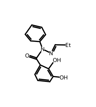 CCC=NN(C(=O)c1cccc(O)c1O)c1ccccc1